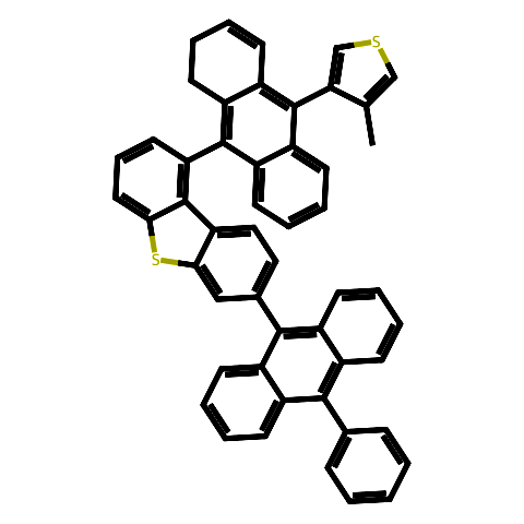 Cc1cscc1-c1c2c(c(-c3cccc4sc5cc(-c6c7ccccc7c(-c7ccccc7)c7ccccc67)ccc5c34)c3ccccc13)CCC=C2